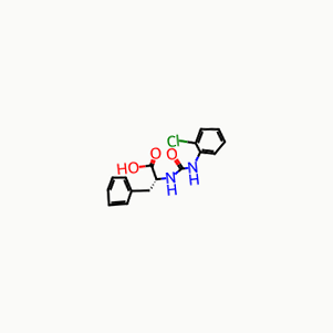 O=C(Nc1ccccc1Cl)N[C@H](Cc1ccccc1)C(=O)O